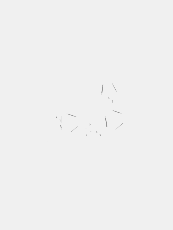 Cc1cc(NS(=O)(=O)c2ccnc(C(F)(F)F)c2)cc(-n2cccc2)c1